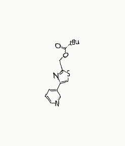 CC(C)(C)C(=O)OCc1nc(-c2cccnc2)cs1